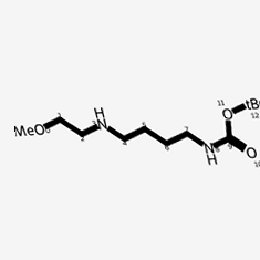 COCCNCCCCNC(=O)OC(C)(C)C